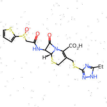 CCc1nc(SCC2=C(C(=O)O)N3C(=O)C(NC(=O)C[S+]([O-])c4cccs4)[C@H]3SC2)n[nH]1